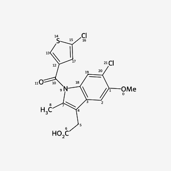 COc1cc2c(CC(=O)O)c(C)n(C(=O)c3csc(Cl)c3)c2cc1Cl